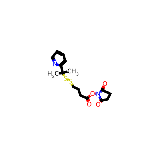 CC(C)(SSCCCC(=O)ON1C(=O)CCC1=O)c1ccccn1